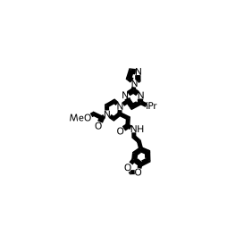 COCC(=O)N1CCN(c2cc(C(C)C)nc(-n3ccnc3)n2)C(CC(=O)NCCc2ccc3c(c2)OCO3)C1